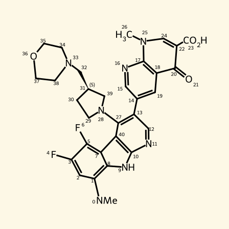 CNc1cc(F)c(F)c2c1[nH]c1ncc(-c3cnc4c(c3)c(=O)c(C(=O)O)cn4C)c(N3CC[C@@H](CN4CCOCC4)C3)c12